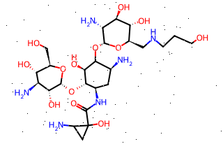 NC1CC1(O)C(=O)N[C@@H]1C[C@H](N)C(O[C@H]2O[C@H](CNCCCO)[C@@H](O)[C@H](O)[C@H]2N)[C@H](O)[C@H]1O[C@H]1O[C@H](CO)[C@@H](O)[C@H](N)[C@H]1O